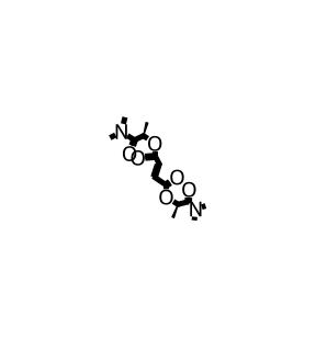 C[C@@H](OC(=O)/C=C/C(=O)O[C@H](C)C(=O)N(C)C)C(=O)N(C)C